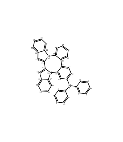 c1ccc(N(c2ccccc2)c2ccc3c4ccccc4n4c5ccccc5nc4c4nc5ccccc5n4c3c2)cc1